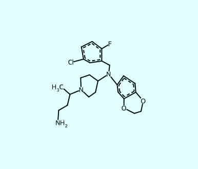 CC(CCN)N1CCC(N(Cc2cc(Cl)ccc2F)c2ccc3c(c2)OCCO3)CC1